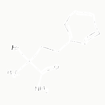 CC(Br)(CCc1ccccc1)C(N)=O